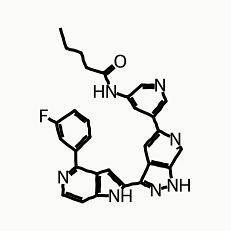 CCCCC(=O)Nc1cncc(-c2cc3c(-c4cc5c(-c6cccc(F)c6)nccc5[nH]4)n[nH]c3cn2)c1